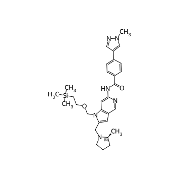 C[C@H]1CCCN1Cc1cc2cnc(NC(=O)c3ccc(-c4cnn(C)c4)cc3)cc2n1COCC[Si](C)(C)C